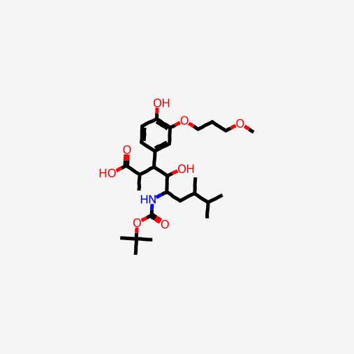 COCCCOc1cc(C(C(C)C(=O)O)C(O)C(CC(C)C(C)C)NC(=O)OC(C)(C)C)ccc1O